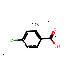 O=C(O)c1ccc(Cl)cc1.[Tb]